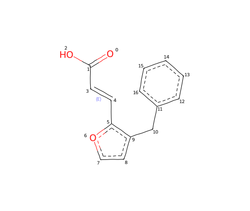 O=C(O)/C=C/c1occc1Cc1ccccc1